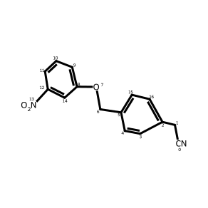 N#CCc1ccc(COc2cccc([N+](=O)[O-])c2)cc1